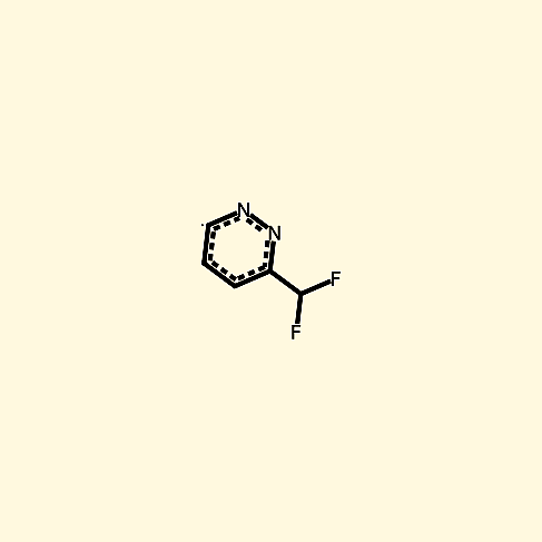 FC(F)c1cc[c]nn1